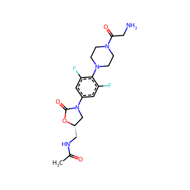 CC(=O)NC[C@H]1CN(c2cc(F)c(N3CCN(C(=O)CN)CC3)c(F)c2)C(=O)O1